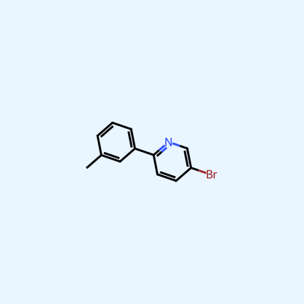 Cc1cccc(-c2ccc(Br)cn2)c1